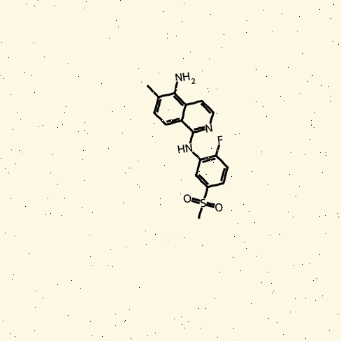 Cc1ccc2c(Nc3cc(S(C)(=O)=O)ccc3F)nccc2c1N